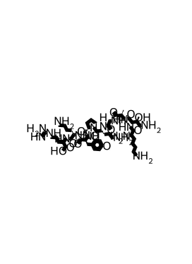 COc1ccc(C[C@H](NC(=O)[C@@H]2CCCN2C(=O)[C@@H](CCCN)NC(=O)CNC(=O)[C@H](C)NC(=O)[C@@H](NC(=O)C(N)CCCCN)[C@@H](O)CN)C(=O)N[C@@H](CCCCN)C(=O)N/C(=C\CCNC(=N)N)C(=O)O)cc1